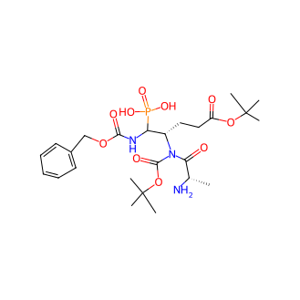 C[C@H](N)C(=O)N(C(=O)OC(C)(C)C)[C@@H](CCC(=O)OC(C)(C)C)C(NC(=O)OCc1ccccc1)P(=O)(O)O